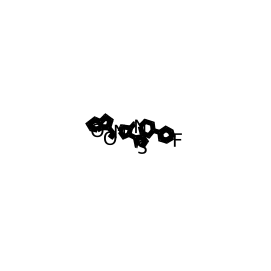 O=C(c1ccc2cccoc1-2)N1CC(CN2CCC(c3ccc(F)cc3)CC2)C(c2ccsc2)C1